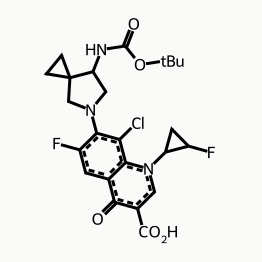 CC(C)(C)OC(=O)NC1CN(c2c(F)cc3c(=O)c(C(=O)O)cn(C4CC4F)c3c2Cl)CC12CC2